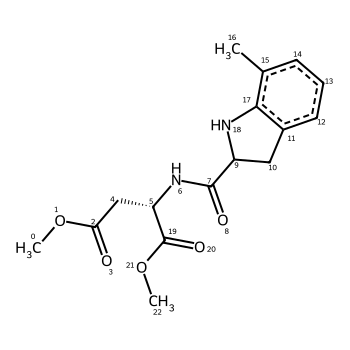 COC(=O)C[C@H](NC(=O)C1Cc2cccc(C)c2N1)C(=O)OC